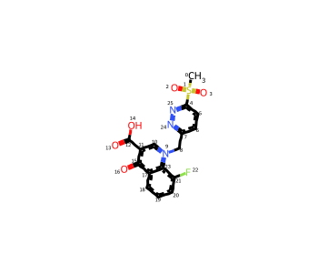 CS(=O)(=O)c1ccc(Cn2cc(C(=O)O)c(=O)c3cccc(F)c32)nn1